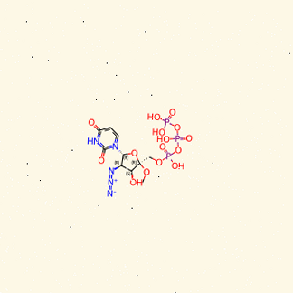 CO[C@]1(COP(=O)(O)OP(=O)(O)OP(=O)(O)O)O[C@@H](n2ccc(=O)[nH]c2=O)[C@H](N=[N+]=[N-])[C@@H]1O